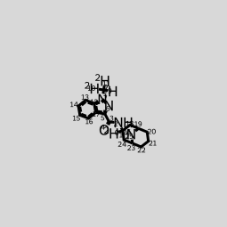 [2H]C1(NC(=O)c2nn(C([2H])([2H])[2H])c3ccccc23)CC2CCCC(C1)N2C